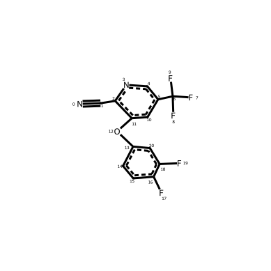 N#Cc1ncc(C(F)(F)F)cc1Oc1ccc(F)c(F)c1